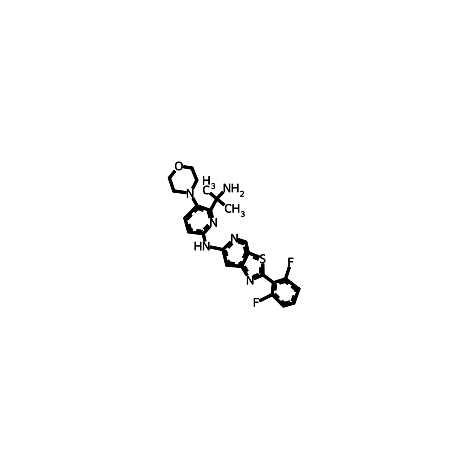 CC(C)(N)c1nc(Nc2cc3nc(-c4c(F)cccc4F)sc3cn2)ccc1N1CCOCC1